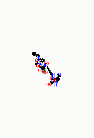 Cc1ncsc1-c1ccc([C@H](C)NC(=O)[C@@H]2C[C@@H](O)CN2C(=O)C(NC(=O)CCCCCCCCCNC(=O)COc2ccc3c(c2)CN(C(=O)C(NC(=O)c2cc4cc(C(F)(F)P(=O)(O)O)ccc4s2)C(C)(C)C)C(C(=O)N2CCCC(c4ccccc4)C2)C3)C(C)(C)C)cc1